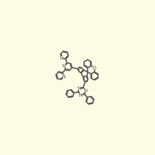 C1=C2Oc3ccccc3C3(C2=CCC1)c1ccc(-c2cc(-c4ccccn4)nc(-c4ccccn4)c2)cc1-c1cc(-c2nc(-c4ccccc4)nc(-c4ccccc4)n2)ccc13